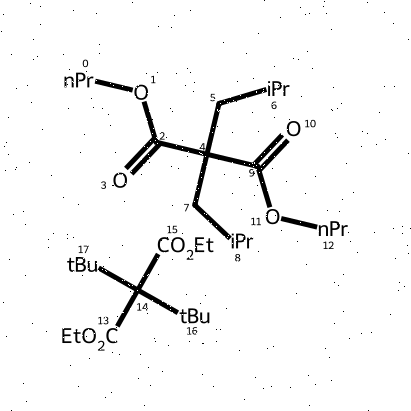 CCCOC(=O)C(CC(C)C)(CC(C)C)C(=O)OCCC.CCOC(=O)C(C(=O)OCC)(C(C)(C)C)C(C)(C)C